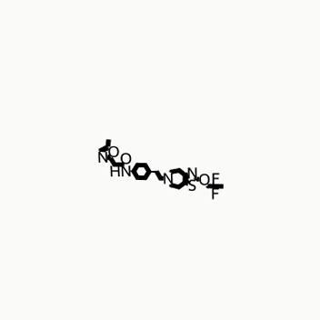 Cc1cnc(CC(=O)N[C@H]2CC[C@H](CCN3CCc4nc(OCC(C)(F)F)sc4CC3)CC2)o1